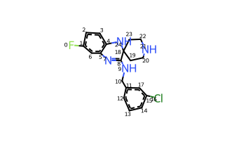 Fc1ccc2c(c1)N=C(NCc1cccc(Cl)c1)C1(CCNCC1)N2